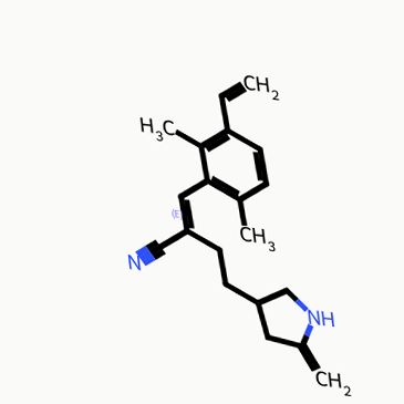 C=Cc1ccc(C)c(/C=C(/C#N)CCC2CNC(=C)C2)c1C